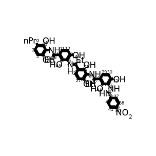 CCCc1ccc(O)c(NC(CC)c2ccc(O)c(NC(CC)c3ccc(O)c(NC(CC)c4ccc(O)c(NNc5ccc([N+](=O)[O-])cc5)c4O)c3O)c2O)c1O